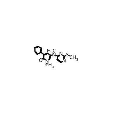 CSc1nccc(N(C)c2cc(-c3ccccc3)c(=O)n(C)c2)n1